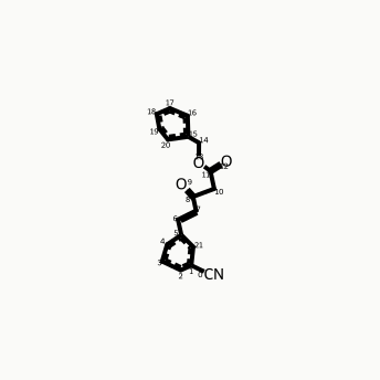 N#Cc1cccc(C=CC(=O)CC(=O)OCc2ccccc2)c1